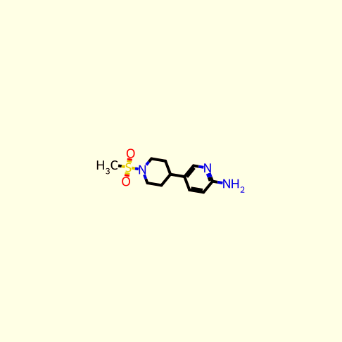 CS(=O)(=O)N1CCC(c2ccc(N)nc2)CC1